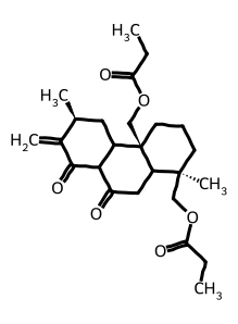 C=C1C(=O)C2C(=O)CC3[C@](C)(COC(=O)CC)CCC[C@@]3(COC(=O)CC)C2C[C@@H]1C